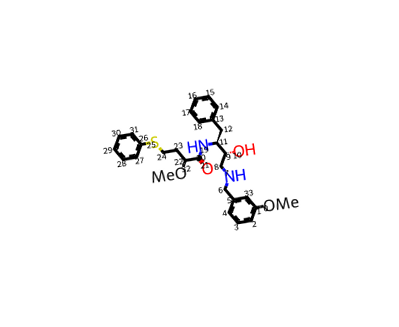 COc1cccc(CNC[C@@H](O)[C@H](Cc2ccccc2)NC(=O)C(CCSc2ccccc2)OC)c1